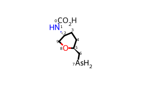 O=C(O)N[C@@H]1CC[C@@H](C[AsH2])OC1